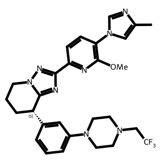 COc1nc(-c2nc3n(n2)CCC[C@H]3c2cccc(N3CCN(CC(F)(F)F)CC3)c2)ccc1-n1cnc(C)c1